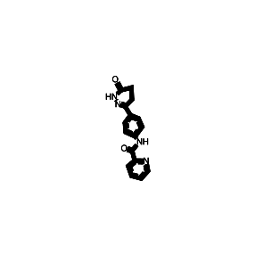 O=C1CCC(c2ccc(NC(=O)c3ccccn3)cc2)=NN1